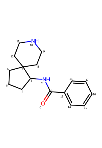 O=C(NC1CCCC12CCNCC2)c1ccccc1